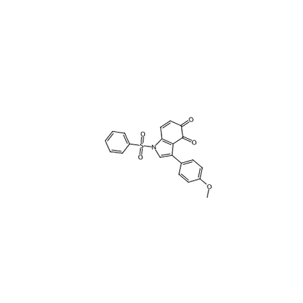 COc1ccc(-c2cn(S(=O)(=O)c3ccccc3)c3c2C(=O)C(=O)C=C3)cc1